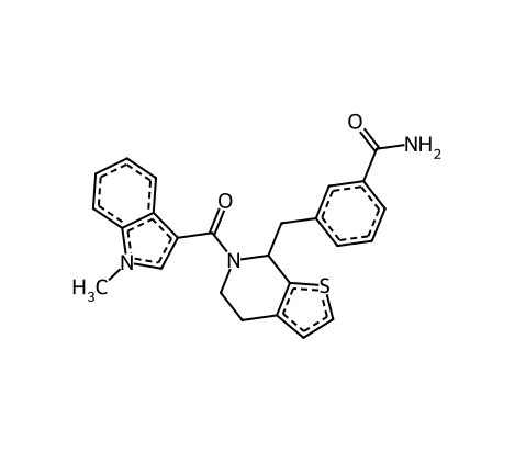 Cn1cc(C(=O)N2CCc3ccsc3C2Cc2cccc(C(N)=O)c2)c2ccccc21